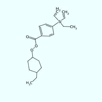 C=C[Si](C=C)(CC)c1ccc(C(=O)OO[C]2CCC(CC)CC2)cc1